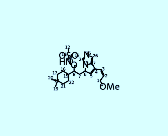 COC/C=C\C1=CC(CC(ONS(C)(=O)=O)C2CCC(C)(C)CC2)n2cncc21